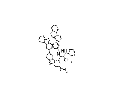 C=C1C=C(C2=C(C)C(c3ccccc3)NC(c3ccccc3)=N2)c2c(sc3ccc(-c4ccc5c(c4)c4ccccc4n5-c4cc5ccccc5c5ccccc45)cc23)C1